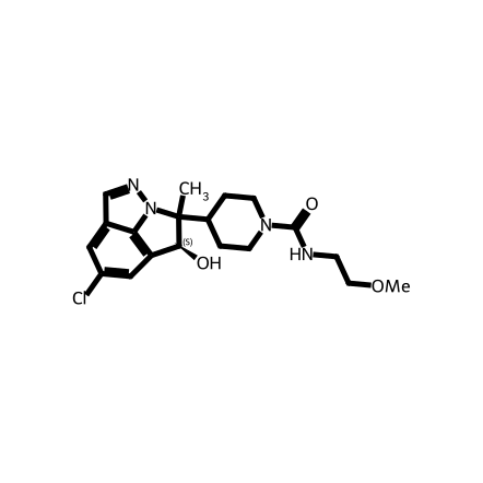 COCCNC(=O)N1CCC(C2(C)[C@@H](O)c3cc(Cl)cc4cnn2c34)CC1